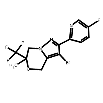 CC1(C(F)(F)F)Cn2nc(-c3ccc(F)cn3)c(Br)c2CO1